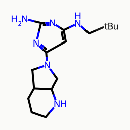 CC(C)(C)CNc1cc(N2CC3CCCNC3C2)nc(N)n1